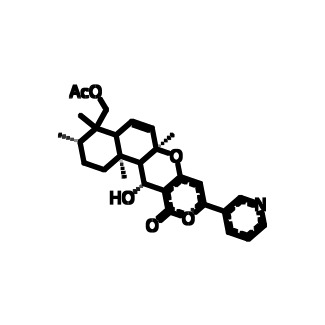 CC(=O)OCC1(C)C2C=C[C@@]3(C)Oc4cc(-c5cccnc5)oc(=O)c4[C@H](O)C3[C@@]2(C)CC[C@@H]1C